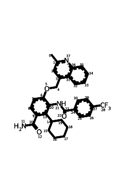 Cc1cc(COc2ccc(C(N)=O)c(C3CCCCC3)c2NC(=O)c2ccc(C(F)(F)F)cc2)c2ccccc2n1